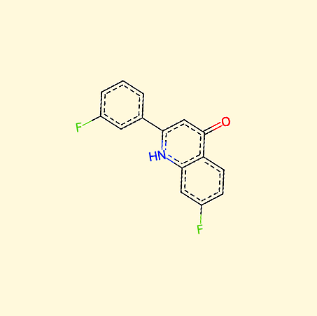 O=c1cc(-c2cccc(F)c2)[nH]c2cc(F)ccc12